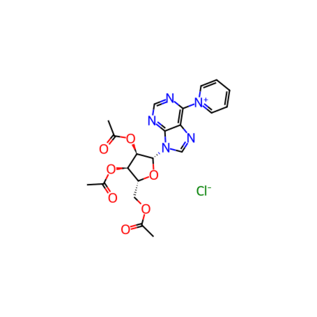 CC(=O)OC[C@H]1O[C@@H](n2cnc3c(-[n+]4ccccc4)ncnc32)[C@H](OC(C)=O)[C@@H]1OC(C)=O.[Cl-]